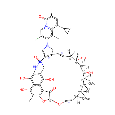 CO[C@H]1/C=C/O[C@@]2(C)Oc3c(C)c(O)c4c(O)c(c(CNC5CCN(c6c(F)cn7c(=O)c(C)cc(C8CC8)c7c6C)C5)c(O)c4c3C2=O)NC(=O)/C(C)=C\C=C\[C@H](C)[C@H](O)[C@@H](C)[C@@H](O)[C@@H](C)[C@H](OC(C)=O)[C@@H]1C